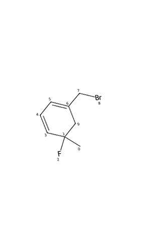 CC1(F)C=CC=C(CBr)C1